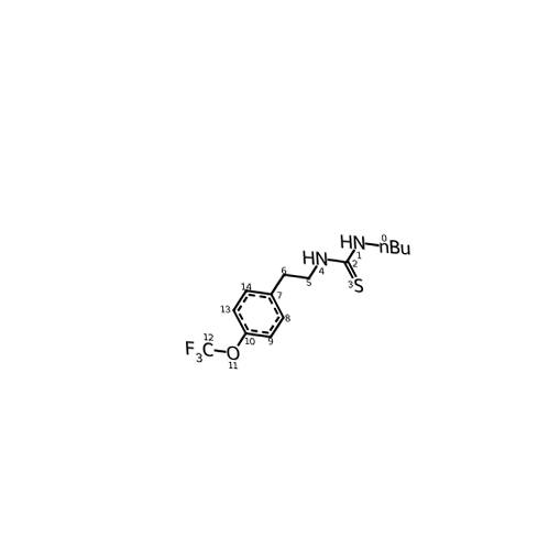 CCCCNC(=S)NCCc1ccc(OC(F)(F)F)cc1